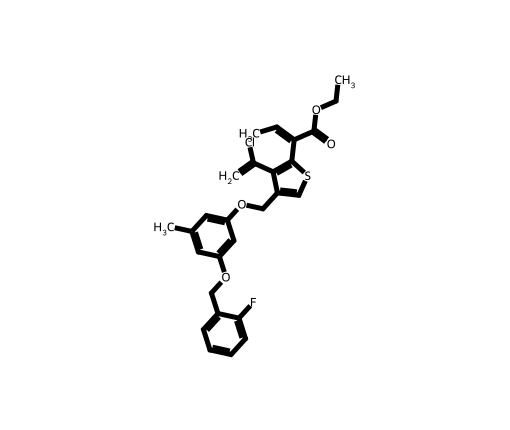 C=C(Cl)c1c(COc2cc(C)cc(OCc3ccccc3F)c2)csc1/C(=C\C)C(=O)OCC